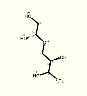 CC(O)[C@H](O)CO[C@H](O)CO